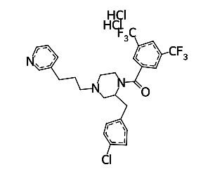 Cl.Cl.O=C(c1cc(C(F)(F)F)cc(C(F)(F)F)c1)N1CCN(CCCc2cccnc2)CC1Cc1ccc(Cl)cc1